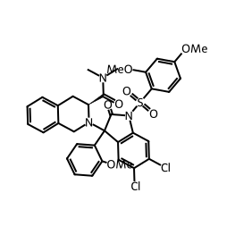 COc1ccc(S(=O)(=O)N2C(=O)C(c3ccccc3OC)(N3Cc4ccccc4C[C@H]3C(=O)N(C)C)c3cc(Cl)c(Cl)cc32)c(OC)c1